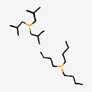 CC(C)CP(CC(C)C)CC(C)C.CCCCP(CCCC)CCCC